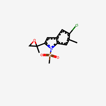 Cc1cc2c(cc1Cl)cc(C1(C)CO1)n2S(C)(=O)=O